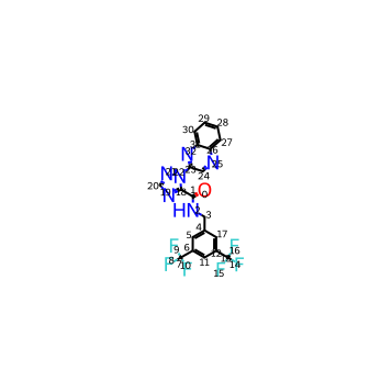 O=C(NCc1cc(C(F)(F)F)cc(C(F)(F)F)c1)c1ncnn1-c1cnc2ccccc2n1